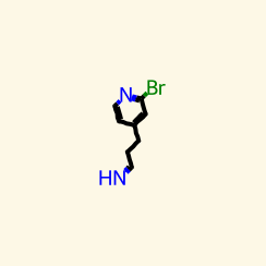 N=CCCc1ccnc(Br)c1